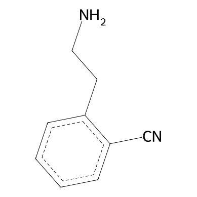 N#Cc1ccccc1CCN